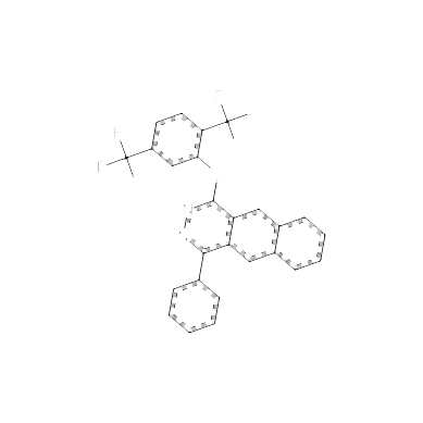 FC(F)(F)c1ccc(C(F)(F)F)c(Oc2nnc(-c3ccccc3)c3cc4ccccc4cc23)c1